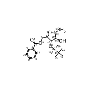 B[C@@H]1O[C@H](COC(=O)c2ccccc2)C(O[Si](C)(C)C(C)(C)C)[C@@H]1O